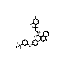 Cc1ccc(C(F)(F)CNC(=O)c2c(-c3ccc(Oc4cccc(C(F)(F)F)c4)cc3)cnc3ccccc23)c(C)c1